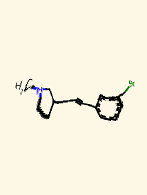 CN1CCC(C#Cc2cccc(Br)c2)C1